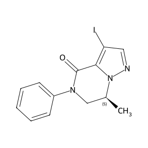 C[C@H]1CN(c2ccccc2)C(=O)c2c(I)cnn21